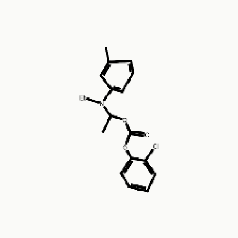 CCN(c1cccc(C)c1)C(C)OC(=O)Oc1ccccc1Cl